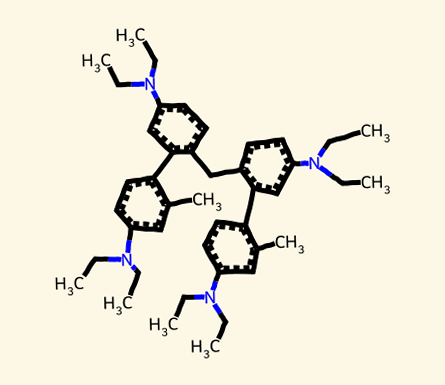 CCN(CC)c1ccc(-c2cc(N(CC)CC)ccc2Cc2ccc(N(CC)CC)cc2-c2ccc(N(CC)CC)cc2C)c(C)c1